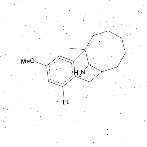 CCc1cc(OC)cc2c1CC1CCCCCC2(C)C1N